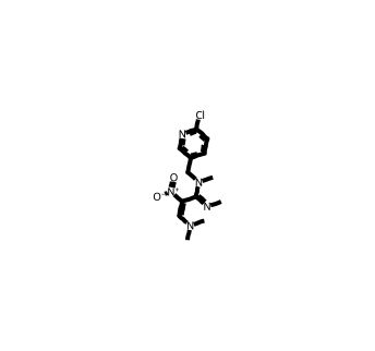 C/N=C(/C(=C\N(C)C)[N+](=O)[O-])N(C)Cc1ccc(Cl)nc1